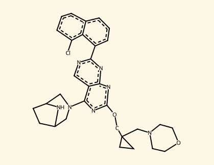 Clc1cccc2cccc(-c3ncc4c(N5CC6CCC(C5)N6)nc(OCC5(CN6CCOCC6)CC5)nc4n3)c12